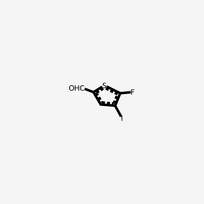 O=Cc1cc(I)c(F)s1